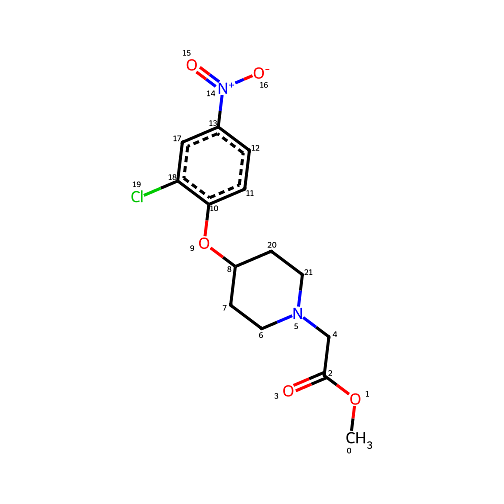 COC(=O)CN1CCC(Oc2ccc([N+](=O)[O-])cc2Cl)CC1